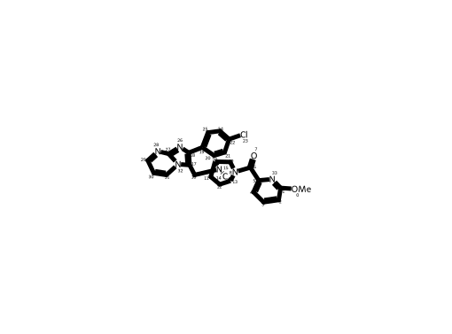 COc1cccc(C(=O)N2CC3CCC2CN3Cc2c(-c3ccc(Cl)cc3)nc3ncccn23)n1